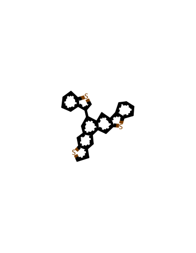 c1ccc2c(-c3cc4cc5sccc5cc4c4cc5sc6ccccc6c5cc34)csc2c1